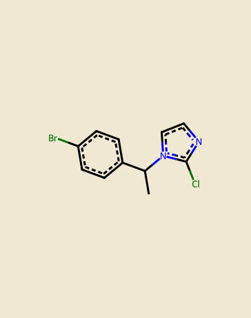 CC(c1ccc(Br)cc1)n1ccnc1Cl